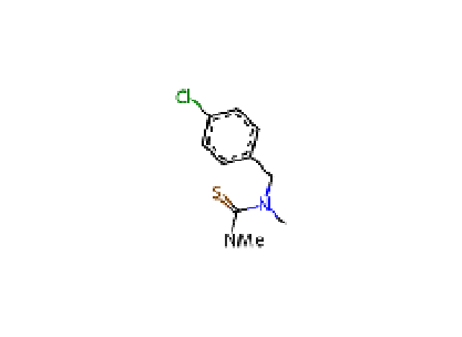 CNC(=S)N(C)Cc1ccc(Cl)cc1